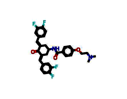 CN(C)CCOc1ccc(C(=O)NC2CC(=Cc3ccc(F)c(F)c3)C(=O)C(=Cc3ccc(F)c(F)c3)C2)cc1